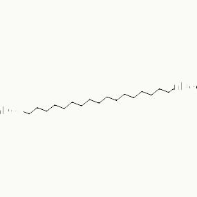 CCCCCCCCCCCCC[CH]CCCCCCCCCCCCCCCCCCCCCCC